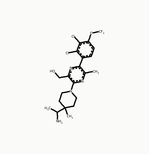 Cc1nc(N2CCC(C)(C(C)N)CC2)c(CO)nc1-c1ccc(OC(F)(F)F)c(Cl)c1Cl